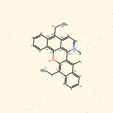 Cc1c2c(c(CC(C)(C)C)c3ccccc13)Oc1c3ccccc3c(CC(C)(C)C)c3cc[n+](C)c-2c13